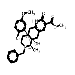 COC(=O)c1cc2c([nH]c1=O)C[C@@]1(c3cc(OC)ccc3C)CCN(Cc3ccccc3)[C@H](C)[C@]1(O)C2